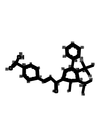 Cc1c(C(=O)C=Cc2ccc(C(=O)O)cc2)cc(-c2ccccc2)c(C(C)(C)C)c1N(C)C